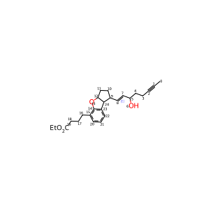 CC#CCCC(O)/C=C/C1CCC2Oc3c(CCCC(=O)OCC)cccc3C12